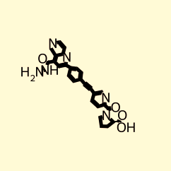 NNC(=O)c1cc(-c2ccc(C#Cc3ccc(C(=O)N4CCC[C@@H]4C(=O)O)nc3)cc2)nc2ccncc12